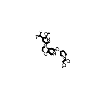 COCC(=O)N1CC[C@H](Oc2cc3c(cn2)OCCN3c2cnc(OC)c(C(F)F)c2)C1